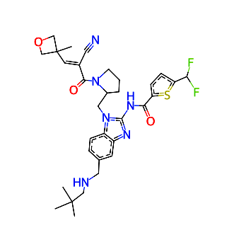 CC(C)(C)CNCc1ccc2c(c1)nc(NC(=O)c1ccc(C(F)F)s1)n2CC1CCCN1C(=O)C(C#N)=CC1(C)COC1